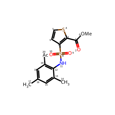 COC(=O)c1sccc1S(=O)(=O)Nc1c(C)cc(C)cc1C(C)=O